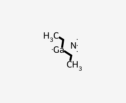 C[CH2][Ga][CH2]C.[N]